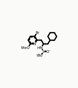 COc1ccc(Br)c(CC(CC2CCCCC2)N[S+]([O-])C(C)(C)C)n1